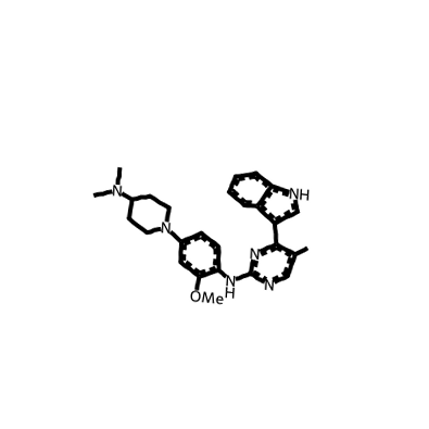 COc1cc(N2CCC(N(C)C)CC2)ccc1Nc1ncc(C)c(-c2c[nH]c3ccccc23)n1